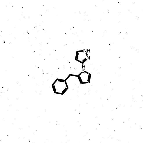 C1=C[SH](c2cc[nH]n2)C(Cc2ccccc2)=C1